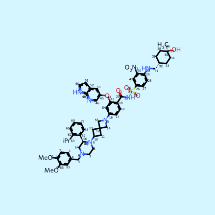 COc1ccc(CN2CCN(C3CC4(C3)CN(c3ccc(C(=O)NS(=O)(=O)c5ccc(NC[C@H]6CC[C@](C)(O)CC6)c([N+](=O)[O-])c5)c(Oc5cnc6[nH]ccc6c5)c3)C4)[C@H](c3ccccc3C(C)C)C2)cc1OC